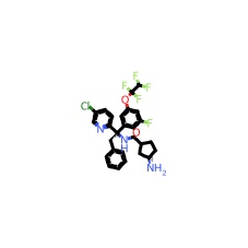 N[C@@H]1CCC(C(=O)N[C@@](Cc2ccccc2)(c2cc(F)cc(OC(F)(F)C(F)F)c2)c2ccc(Cl)cn2)C1